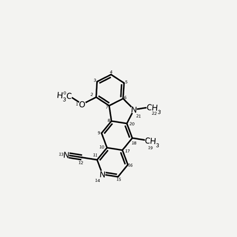 COc1cccc2c1c1cc3c(C#N)nccc3c(C)c1n2C